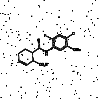 COc1cc(NC(=O)C2CCC=CC2C(=O)O)c(F)cc1Cl